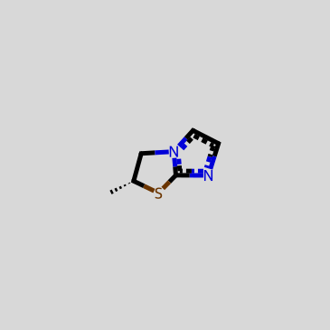 C[C@@H]1Cn2ccnc2S1